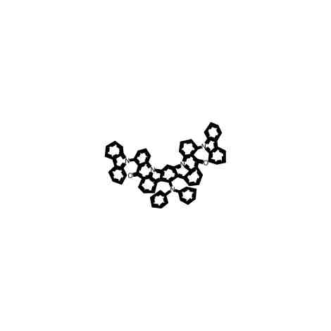 O=c1c2cccc3c4c(N(c5ccccc5)c5ccccc5)c5c6cccc7c(=O)c8c(-n9c%10ccccc%10c%10ccccc%109)cccc8n(c5cc4n(c4cccc(-n5c8ccccc8c8ccccc85)c14)c23)c76